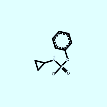 O=P(Cl)(NC1CC1)Oc1ccccc1